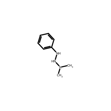 CN(C)NNc1cc[c]cc1